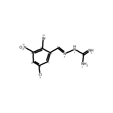 N=C(N)NN=Cc1cc(Cl)cc([N+](=O)[O-])c1Br